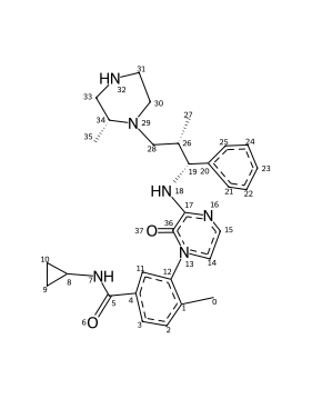 Cc1ccc(C(=O)NC2CC2)cc1-n1ccnc(N[C@@H](c2ccccc2)[C@@H](C)CN2CCNC[C@H]2C)c1=O